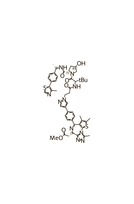 COC(=O)C[C@@H]1N=C(c2ccc(-c3cnn(CCC(=O)NC(C(=O)N4C[C@H](O)C[C@H]4C(=O)N[C@@H](C)c4ccc(-c5scnc5C)cc4)C(C)(C)C)c3)cc2)c2c(sc(C)c2C)-n2c(C)nnc21